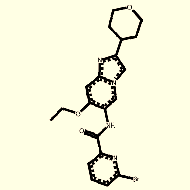 CCOc1cc2nc(C3CCOCC3)cn2cc1NC(=O)c1cccc(Br)n1